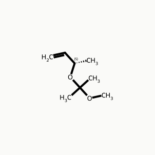 C=C[C@H](C)OC(C)(C)OC